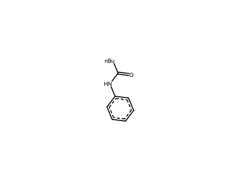 CCCCC(=O)Nc1c[c]ccc1